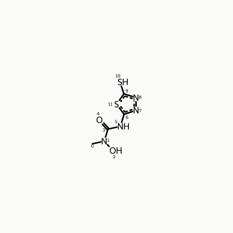 CN(O)C(=O)Nc1nnc(S)s1